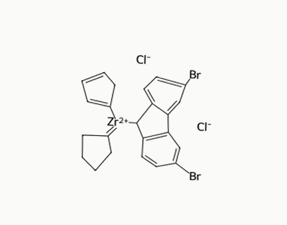 Brc1ccc2c(c1)-c1cc(Br)ccc1[CH]2[Zr+2]([C]1=CC=CC1)=[C]1CCCC1.[Cl-].[Cl-]